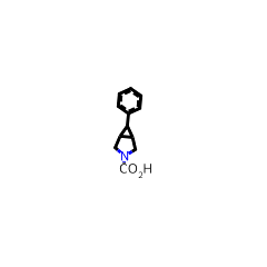 O=C(O)N1CC2C(C1)C2c1ccccc1